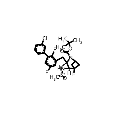 C[S+]([O-])N[C@@H]1[C@H](Cc2cc(F)cc(-c3cccc(Cl)c3)c2F)N(C(=O)OC(C)(C)C)C2CC1(F)C2